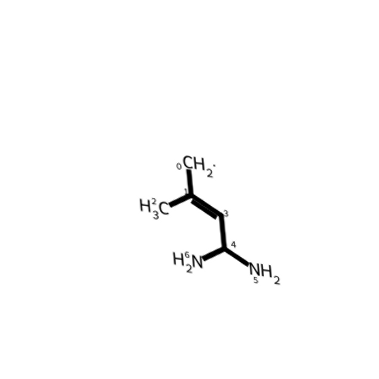 [CH2]C(C)=CC(N)N